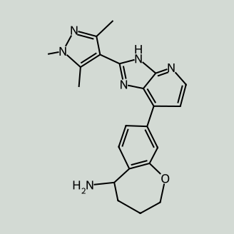 Cc1nn(C)c(C)c1-c1nc2c(-c3ccc4c(c3)OCCCC4N)ccnc2[nH]1